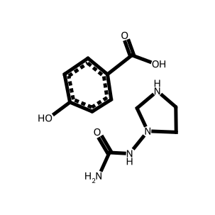 NC(=O)NN1CCNC1.O=C(O)c1ccc(O)cc1